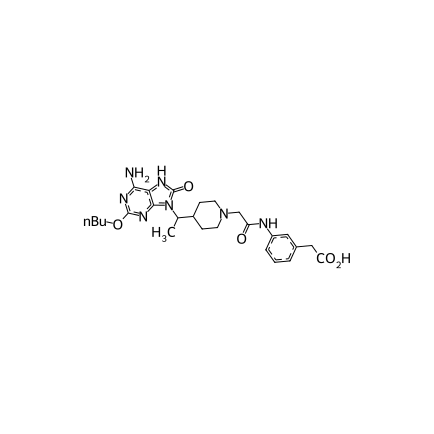 CCCCOc1nc(N)c2[nH]c(=O)n(C(C)C3CCN(CC(=O)Nc4cccc(CC(=O)O)c4)CC3)c2n1